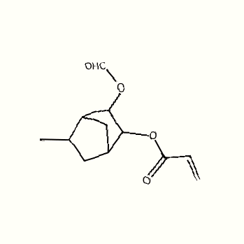 C=CC(=O)OC1C2CC(C)C(C2)C1OC=O